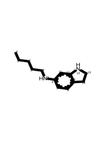 CCCCCNc1ccc2c(c1)NCC2